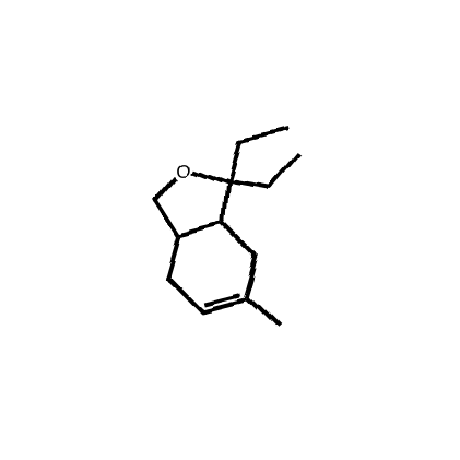 CCC1(CC)OCC2CC=C(C)CC21